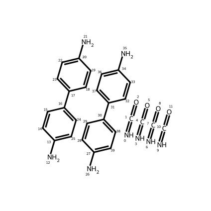 N=C=O.N=C=O.N=C=O.N=C=O.Nc1ccc(-c2ccc(N)cc2)cc1.Nc1ccc(-c2ccc(N)cc2)cc1